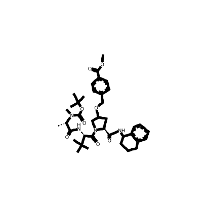 COC(=O)c1ccc(COC2C[C@@H](C(=O)NC3CCCc4ccccc43)N(C(=O)[C@@H](NC(=O)[C@H](C)N(C)C(=O)OC(C)(C)C)C(C)(C)C)C2)cc1